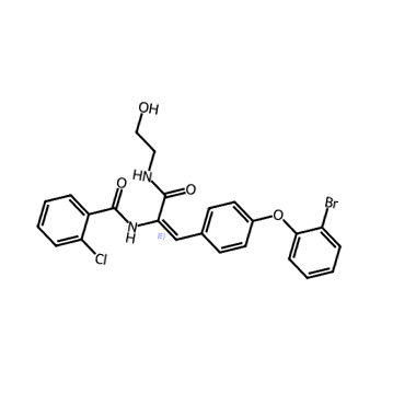 O=C(NCCO)/C(=C\c1ccc(Oc2ccccc2Br)cc1)NC(=O)c1ccccc1Cl